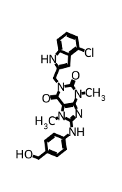 Cn1c(Nc2ccc(CO)cc2)nc2c1c(=O)n(Cc1cc3c(Cl)cccc3[nH]1)c(=O)n2C